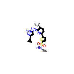 Cc1ccc(-c2ccc(S(=O)(=O)NC(C)(C)C)s2)nc1Nc1cc(C2CC2)n[nH]1